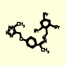 CC(=NOCc1c(C(C)C)cc(C(C)C)cc1C(C)C)c1ccc(OCc2nnnn2C)cc1